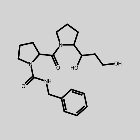 O=C(NCc1ccccc1)N1CCCC1C(=O)N1CCCC1C(O)CCO